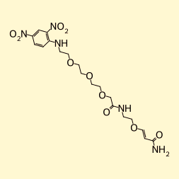 NC(=O)C=COCCNC(=O)COCCOCCOCCNc1ccc([N+](=O)[O-])cc1[N+](=O)[O-]